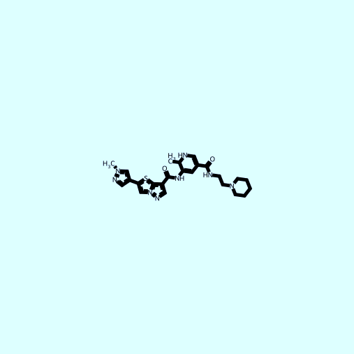 CC1NC=C(C(=O)NCCN2CCCCC2)C=C1NC(=O)c1cnn2cc(-c3cnn(C)c3)sc12